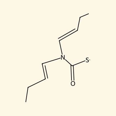 CC/C=C/N(/C=C/CC)C(=O)[S]